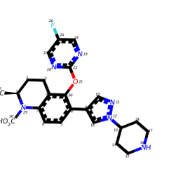 C[C@H]1CCc2c(ccc(-c3cnn(C4CCNCC4)c3)c2Oc2ncc(F)cn2)N1C(=O)O